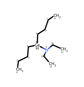 CCC[CH2][GeH]([CH2]CCC)[N](CC)CC